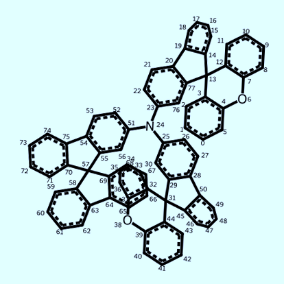 c1ccc2c(c1)Oc1ccccc1C21c2ccccc2-c2ccc(N(c3ccc4c(c3)C3(c5ccccc5Oc5ccccc53)c3ccccc3-4)c3ccc4c(c3)C3(c5ccccc5-c5ccccc53)c3ccccc3-4)cc21